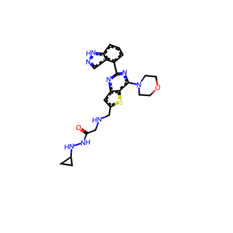 O=C(CNCc1cc2nc(-c3cccc4[nH]ncc34)nc(N3CCOCC3)c2s1)NNC1CC1